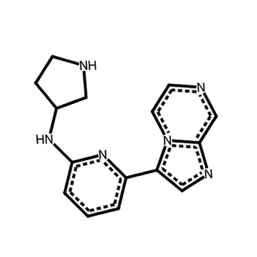 c1cc(NC2CCNC2)nc(-c2cnc3cnccn23)c1